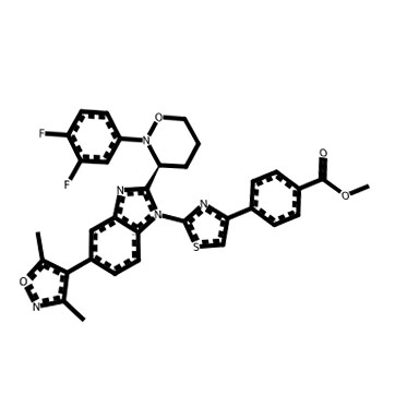 COC(=O)c1ccc(-c2csc(-n3c([C@@H]4CCCON4c4ccc(F)c(F)c4)nc4cc(-c5c(C)noc5C)ccc43)n2)cc1